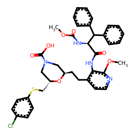 COC(=O)N[C@H](C(=O)Nc1c(CC[C@@H]2CN(C(=O)O)C[C@@H](CSc3ccc(Cl)cc3)O2)ccnc1OC)C(c1ccccc1)c1ccccc1